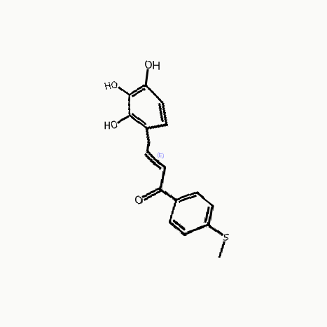 CSc1ccc(C(=O)/C=C/c2ccc(O)c(O)c2O)cc1